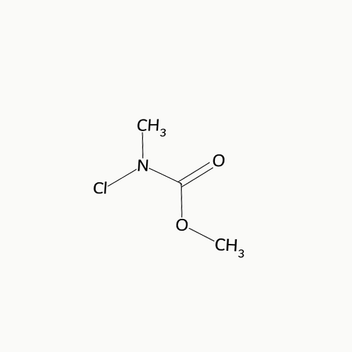 COC(=O)N(C)Cl